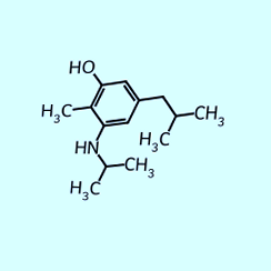 Cc1c(O)cc(CC(C)C)cc1NC(C)C